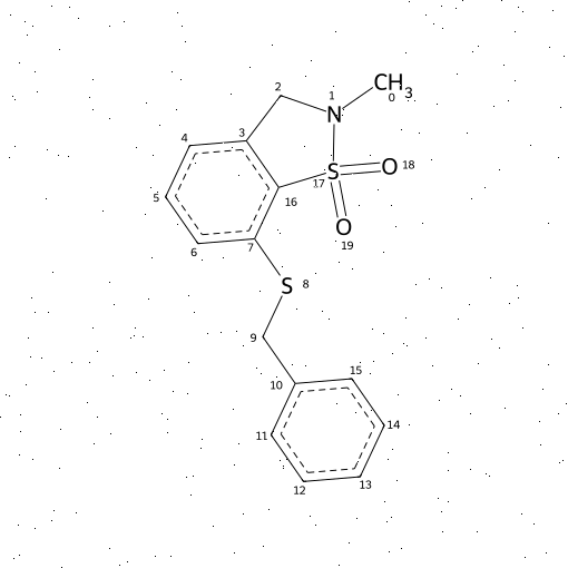 CN1Cc2cccc(SCc3ccccc3)c2S1(=O)=O